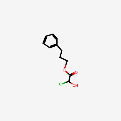 O=C(OCCCc1ccccc1)C(O)Cl